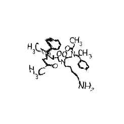 CCC(=O)N(CC(=O)N(CCCCN)CC(=O)N(CC(C)=O)[C@@H](C)c1ccccc1)[C@@H](C)c1ccccc1